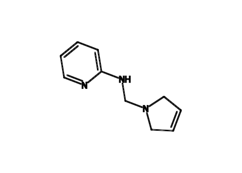 C1=CCN(CNc2ccccn2)C1